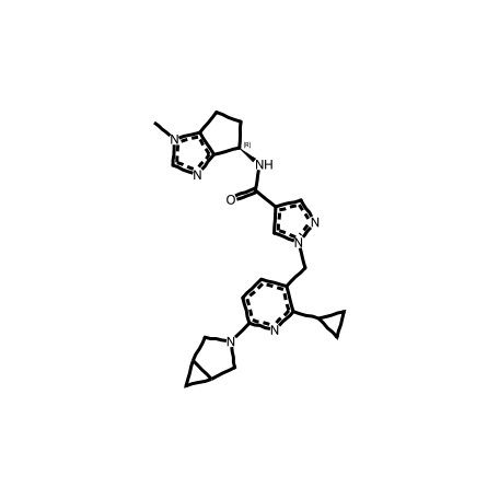 Cn1cnc2c1CC[C@H]2NC(=O)c1cnn(Cc2ccc(N3CC4CC4C3)nc2C2CC2)c1